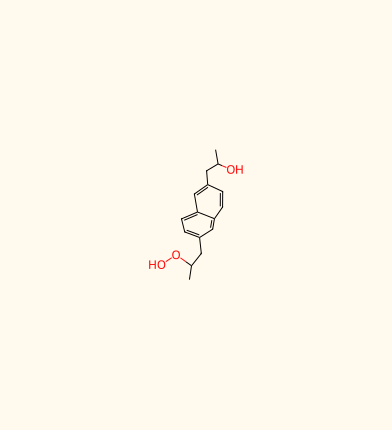 CC(O)Cc1ccc2cc(CC(C)OO)ccc2c1